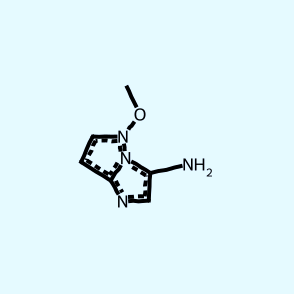 COn1ccc2ncc(N)n21